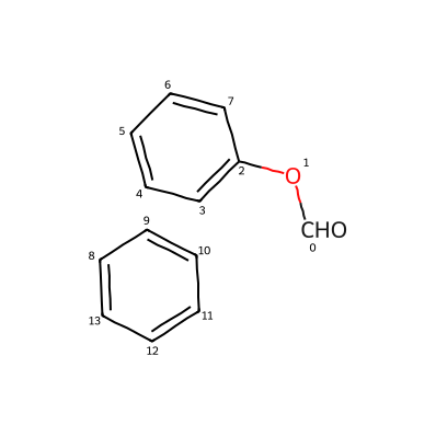 O=COc1ccccc1.c1ccccc1